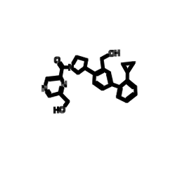 O=C(c1cncc(CO)n1)N1CCC(c2ccc(-c3ccccc3C3CC3)cc2CO)C1